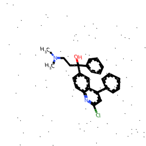 CN(C)CCC(O)(c1ccccc1)c1ccc2nc(Cl)cc(-c3ccccc3)c2c1